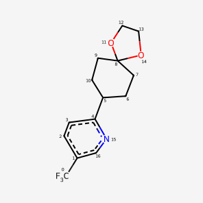 FC(F)(F)c1ccc(C2CCC3(CC2)OCCO3)nc1